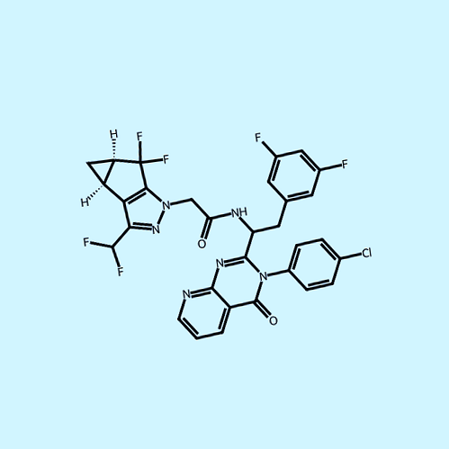 O=C(Cn1nc(C(F)F)c2c1C(F)(F)[C@@H]1C[C@H]21)NC(Cc1cc(F)cc(F)c1)c1nc2ncccc2c(=O)n1-c1ccc(Cl)cc1